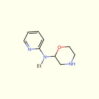 CCN(c1cc[c]cn1)C1CNCCO1